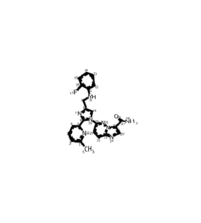 Cc1cccc(-c2nc(CNc3ccccc3F)cn2-c2ccc3ncc(C(N)=O)n3n2)n1